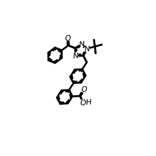 CC(C)(C)n1nc(C(=O)c2ccccc2)nc1Cc1ccc(-c2ccccc2C(=O)O)cc1